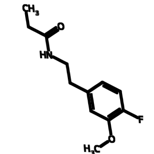 CCC(=O)NCCc1ccc(F)c(OC)c1